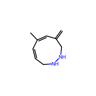 C=C1/C=C(C)\C=C/CNNC1